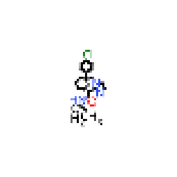 CCC(C)NC(=O)Cc1nccn1CC1(c2ccc(Cl)cc2)CCCCC1